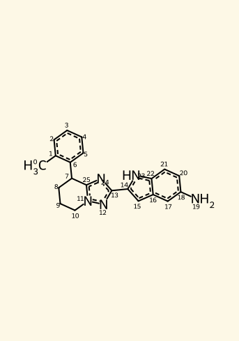 Cc1ccccc1C1CCCn2nc(-c3cc4cc(N)ccc4[nH]3)nc21